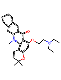 CCN(CC)CCOc1cc2c(c3c1c(=O)c1cc4ccccc4cc1n3C)C=CC(C)(C)O2